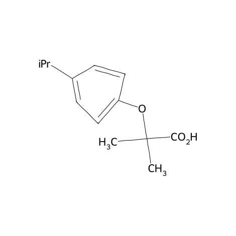 CC(C)c1ccc(OC(C)(C)C(=O)O)cc1